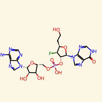 Nc1ncnc2c1ncn2[C@@H]1O[C@H](COP(=O)(O)O[C@@H]2[C@@H](F)[C@@H](CCO)O[C@H]2n2cnc3c(=O)[nH]cnc32)[C@@H](O)[C@H]1O